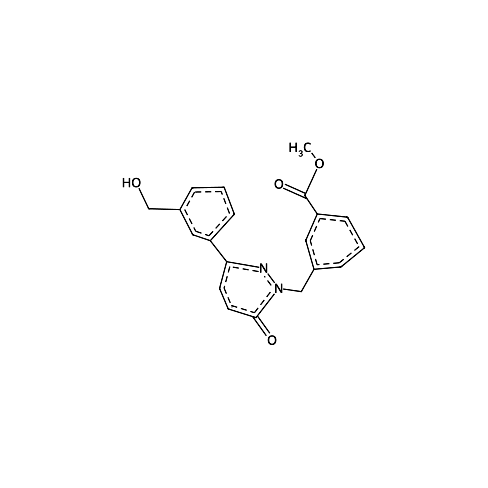 COC(=O)c1cccc(Cn2nc(-c3cccc(CO)c3)ccc2=O)c1